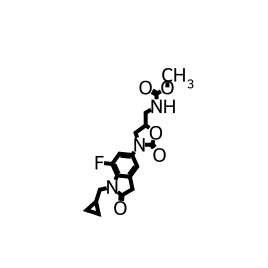 COC(=O)NCC1CN(c2cc(F)c3c(c2)CC(=O)N3CC2CC2)C(=O)O1